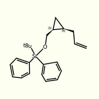 C=CC[C@@H]1C[C@@H]1CO[Si](c1ccccc1)(c1ccccc1)C(C)(C)C